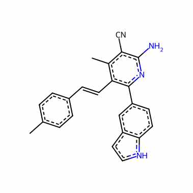 Cc1ccc(C=Cc2c(-c3ccc4[nH]ccc4c3)nc(N)c(C#N)c2C)cc1